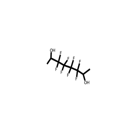 CC(O)C(F)(F)C(F)(F)C(F)(F)C(F)(F)C(C)O